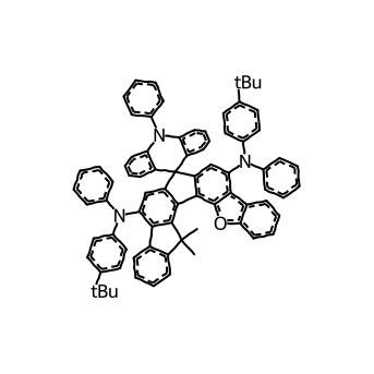 CC(C)(C)c1ccc(N(c2ccccc2)c2cc3c(c4c2-c2ccccc2C4(C)C)-c2c(cc(N(c4ccccc4)c4ccc(C(C)(C)C)cc4)c4c2oc2ccccc24)C32c3ccccc3N(c3ccccc3)c3ccccc32)cc1